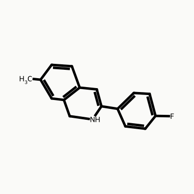 Cc1ccc2c(c1)CNC(c1ccc(F)cc1)=C2